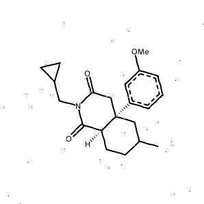 COc1cccc([C@@]23CC(=O)N(CC4CC4)C(=O)[C@@H]2CCC(C)C3)c1